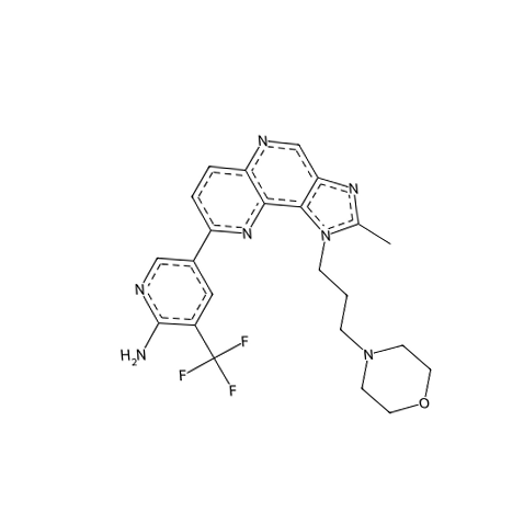 Cc1nc2cnc3ccc(-c4cnc(N)c(C(F)(F)F)c4)nc3c2n1CCCN1CCOCC1